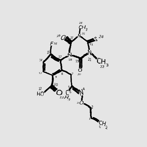 C=CCON=C(C)Cc1c(C(=O)O)ccc(F)c1-n1c(=O)n(C)c(=S)n(C)c1=O